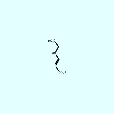 O=C(O)CNC=NC(=O)O